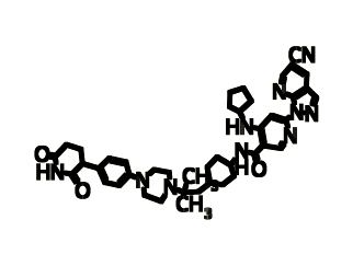 CC(C)(CC1CCC(NC(=O)c2cnc(-n3ncc4cc(C#N)cnc43)cc2NC2CCCC2)CC1)N1CCN(c2ccc(C3CCC(=O)NC3=O)cc2)CC1